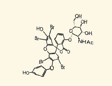 CC(=O)N[C@H]1[C@H](Oc2cccc3c2C(=O)OC32c3cc(Br)c(O)c(Br)c3Oc3c2cc(Br)c(Oc2ccc(O)cc2)c3Br)O[C@H](CO)[C@@H](O)[C@@H]1O